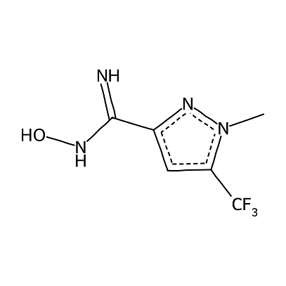 Cn1nc(C(=N)NO)cc1C(F)(F)F